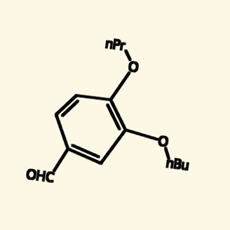 CCCCOc1cc(C=O)ccc1OCCC